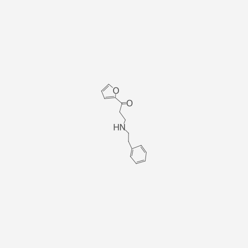 O=C(CCNCCc1ccccc1)c1ccco1